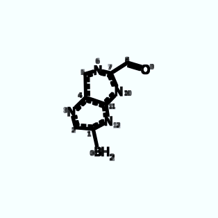 Bc1cnc2cnc(C=O)nc2n1